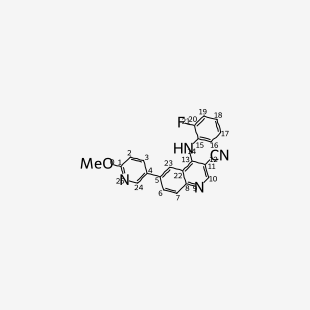 COc1ccc(-c2ccc3ncc(C#N)c(Nc4ccccc4F)c3c2)cn1